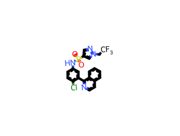 O=S(=O)(Nc1ccc(Cl)c(-c2nccc3ccccc23)c1)c1cnn(CC(F)(F)F)c1